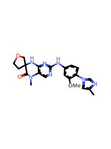 COc1cc(Nc2ncc3c(n2)NC2(CCOC2)C(=O)N3C)ccc1-n1cnc(C)c1